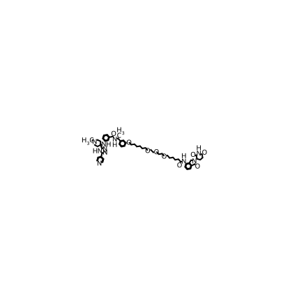 C[C@@H](NC(=O)c1cccc(NC2(c3nnc(-c4ccncc4)[nH]3)CCN(C)CC2)c1)c1cccc(OCCCCCCOCCOCCOCCCCCC(=O)Nc2cccc3c2CN(C2CCC(=O)NC2=O)C3=O)c1